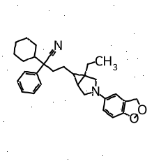 CCC12CN(c3ccc4c(c3)COO4)CC1C2CCC(C#N)(c1ccccc1)C1CCCCC1